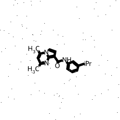 Cc1cc(C)n2ccc(C(=O)Nc3cccc(C(C)C)c3)c2n1